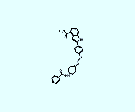 NC(=O)c1cccc2[nH]c(-c3ccc(OCCN4CCN(NC(=O)c5ccccc5)CC4)cc3)cc12